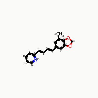 Cc1cc(C=CC=Cc2ccccn2)cc2c1OCO2